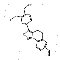 C=Cc1ccc2c(c1)CCc1c-2noc1-c1ccc(CC(C)C)c(CF)c1